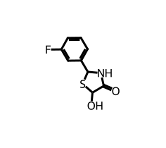 O=C1NC(c2cccc(F)c2)SC1O